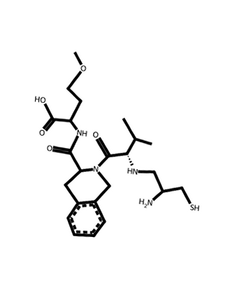 COCCC(NC(=O)C1Cc2ccccc2CN1C(=O)[C@@H](NCC(N)CS)C(C)C)C(=O)O